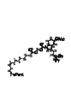 CCCCC/C=C\C/C=C\CCCCCCCC(=O)OCOC(=O)n1cc(CCN(C(C)C)C(C)C)c2cc(OC)ccc21